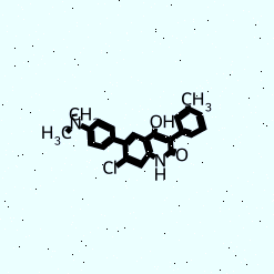 Cc1cccc(-c2c(O)c3cc(-c4ccc(N(C)C)cc4)c(Cl)cc3[nH]c2=O)c1